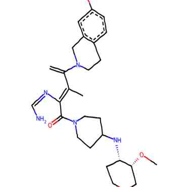 C=C(/C(C)=C(\N=C/N)C(=O)N1CCC(N[C@H]2CCOC[C@H]2OC)CC1)N1CCc2ccc(O)cc2C1